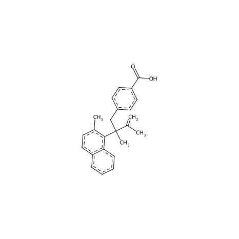 C=C(C)C(C)(Cc1ccc(C(=O)O)cc1)c1c(C)ccc2ccccc12